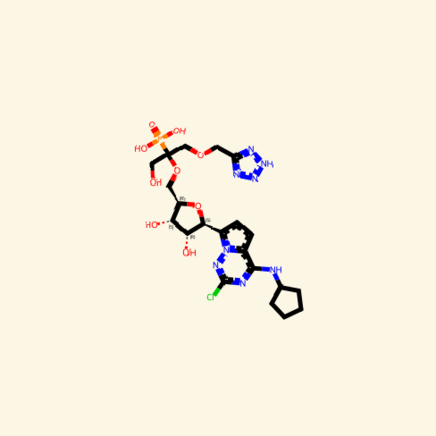 O=P(O)(O)C(CO)(COCc1nn[nH]n1)OC[C@H]1O[C@@H](c2ccc3c(NC4CCCC4)nc(Cl)nn23)[C@H](O)[C@@H]1O